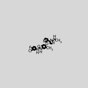 CNc1nccc(-c2cccnc2Oc2ccc(NC(=O)Nc3ccc(F)c(Cl)c3)cc2C)n1